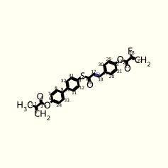 C=C(C)C(=O)Oc1ccc(-c2ccc(SC(=O)/C=C/c3ccc(OC(=O)C(=C)F)cc3)cc2)cc1